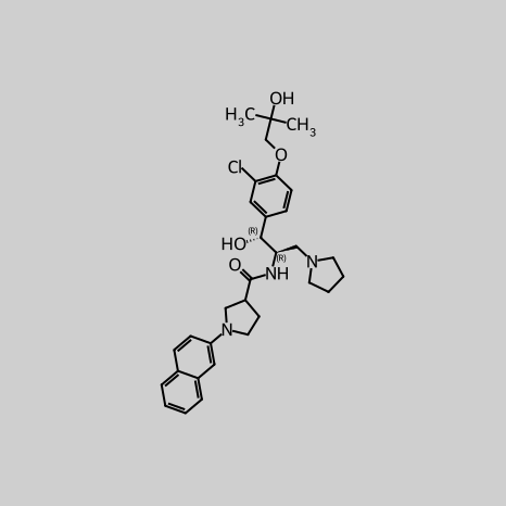 CC(C)(O)COc1ccc([C@@H](O)[C@@H](CN2CCCC2)NC(=O)C2CCN(c3ccc4ccccc4c3)C2)cc1Cl